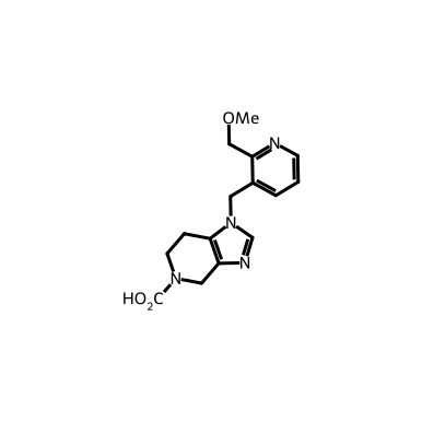 COCc1ncccc1Cn1cnc2c1CCN(C(=O)O)C2